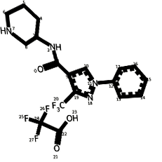 O=C(NC1CCCNC1)c1cn(-c2ccccc2)nc1C(F)(F)F.O=C(O)C(F)(F)F